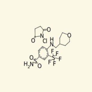 NS(=O)(=O)c1ccc(NCC2CCOCC2)c(S(F)(F)(F)(F)F)c1.O=C1CCC(=O)N1Cl